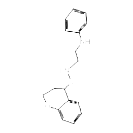 c1ccc(NCCNSC2CCOc3ccccc32)cc1